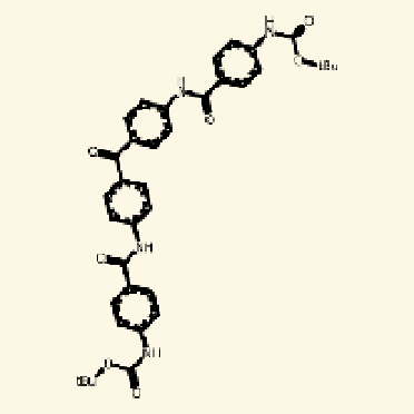 CC(C)(C)OC(=O)Nc1ccc(C(=O)Nc2ccc(C(=O)c3ccc(NC(=O)c4ccc(NC(=O)OC(C)(C)C)cc4)cc3)cc2)cc1